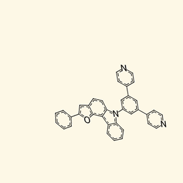 c1ccc(-c2cc3ccc4c(c5ccccc5n4-c4cc(-c5ccncc5)cc(-c5ccncc5)c4)c3o2)cc1